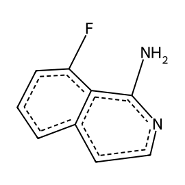 Nc1nccc2cccc(F)c12